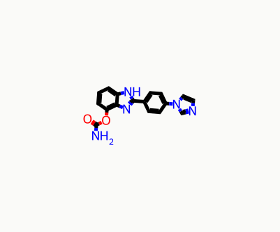 NC(=O)Oc1cccc2[nH]c(-c3ccc(-n4ccnc4)cc3)nc12